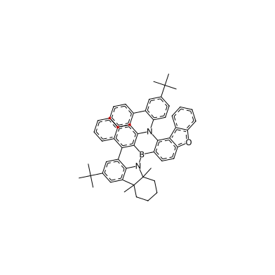 CC(C)(C)c1ccc(N2c3cc4ccccc4c4c3B(c3ccc5oc6ccccc6c5c32)N2c3c-4cc(C(C)(C)C)cc3C3(C)CCCCC23C)c(-c2ccccc2)c1